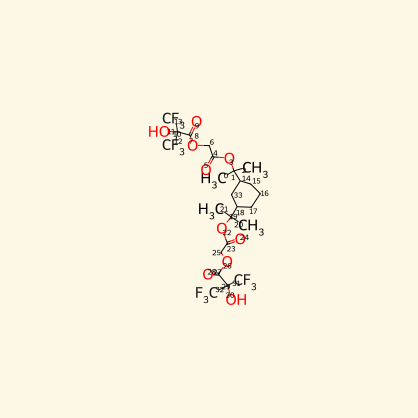 CC(C)(OC(=O)COC(=O)C(O)(C(F)(F)F)C(F)(F)F)C1CCCC(C(C)(C)OC(=O)COC(=O)C(O)(C(F)(F)F)C(F)(F)F)C1